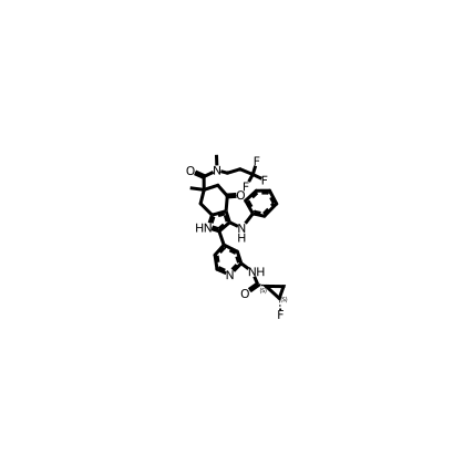 CN(CCC(F)(F)F)C(=O)C1(C)CC(=O)c2c([nH]c(-c3ccnc(NC(=O)[C@@H]4C[C@@H]4F)c3)c2Nc2ccccc2)C1